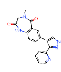 CN1CC(=O)Nc2ccc(-c3c[nH]nc3-c3ccccn3)cc2C1=O